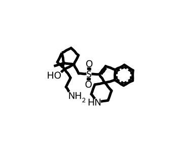 CC1(C)C2CCC1(CS(=O)(=O)C1=Cc3ccccc3C13CCNCC3)C(O)(CCN)C2